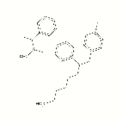 CC(c1ccccc1)N(C)C=O.Cc1ccc(CC(CCCCCC(=O)O)c2ccccc2)cc1